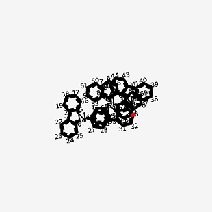 c1ccc(-c2ccccc2-n2c3cc(-n4c5ccccc5c5ccccc54)ccc3c3cccc(-n4c5ccccc5c5cccc([Si](c6ccccc6)(c6ccccc6)c6ccccc6)c54)c32)cc1